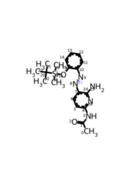 CC(=O)Nc1ccc(/N=N/c2ccccc2O[Si](C)(C)C(C)(C)C)c(N)n1